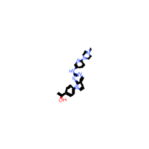 CC(O)c1ccc(-n2ccc3cnc(Nc4ccc(N5CCN(C)CC5)nc4)nc32)cc1